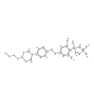 CCCCC1COC(c2ccc(CCc3cc(F)c(C(F)(F)OC(F)(F)F)c(F)c3)cc2)OC1